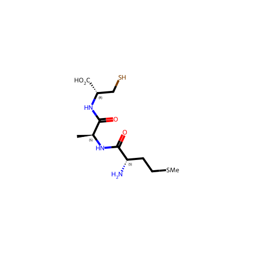 CSCC[C@H](N)C(=O)N[C@@H](C)C(=O)N[C@@H](CS)C(=O)O